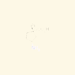 CC(C)[C@]1(C(=O)O)CC[C@@H](N)C1